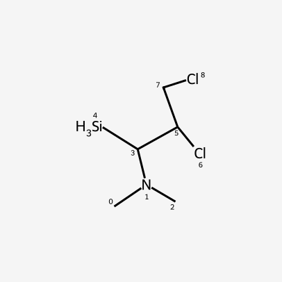 CN(C)C([SiH3])C(Cl)CCl